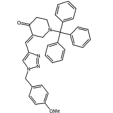 COc1ccc(Cn2cc(/C=C3\CN(C(c4ccccc4)(c4ccccc4)c4ccccc4)CCC3=O)nn2)cc1